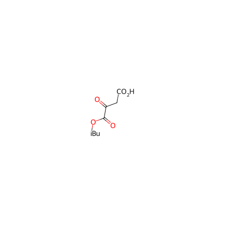 CCC(C)OC(=O)C(=O)CC(=O)O